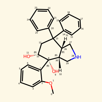 COc1ccccc1[C@@]1(O)[C@H](O)CC(c2ccccc2)(c2ccccc2)[C@@H]2CNC[C@@H]21